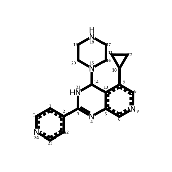 c1cc(C2=Nc3cncc(C4CC4)c3C(N3CCNCC3)N2)ccn1